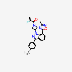 C=C(F)C(=O)N1CC(n2nc(-c3ccc(C(F)(F)F)cc3)c3cccc(-c4nc(C)no4)c32)C1